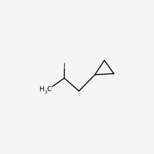 CC(I)CC1CC1